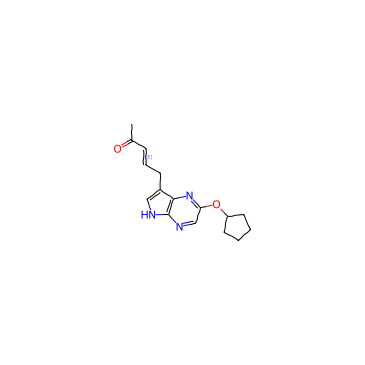 CC(=O)/C=C/Cc1c[nH]c2ncc(OC3CCCC3)nc12